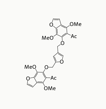 COc1c(C(C)=O)c(OCc2coc(COc3c(C(C)=O)c(OC)c4ccoc4c3OC)c2)c(OC)c2occc12